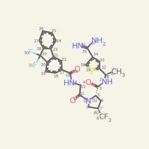 C[C@@H](NC(=O)[C@@H]1C[C@@H](C(F)(F)F)CN1C(=O)CNC(=O)c1ccc2c(c1)-c1ccccc1C2(F)F)c1cc(C(=N)N)cs1